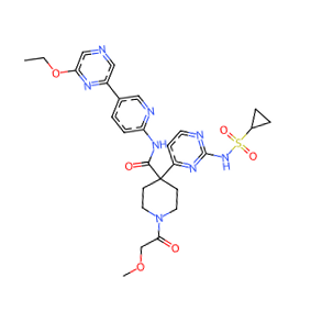 CCOc1cncc(-c2ccc(NC(=O)C3(c4ccnc(NS(=O)(=O)C5CC5)n4)CCN(C(=O)COC)CC3)nc2)n1